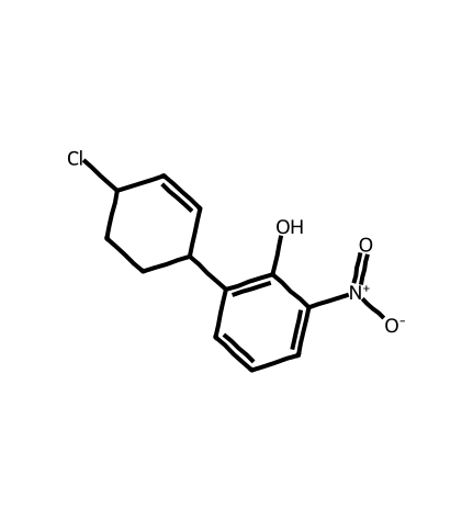 O=[N+]([O-])c1cccc(C2C=CC(Cl)CC2)c1O